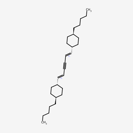 CCCCC[C@H]1CC[C@H](/C=C/C#C/C=C/[C@H]2CC[C@H](CCCCC)CC2)CC1